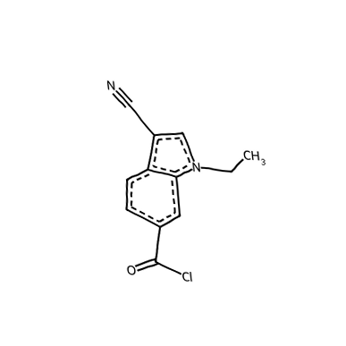 CCn1cc(C#N)c2ccc(C(=O)Cl)cc21